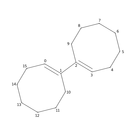 C1=C(C2=CCCCCCC2)CCCCCC1